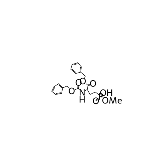 COP(=O)(O)CCC(NC(=O)OCc1ccccc1)C(=O)OCc1ccccc1